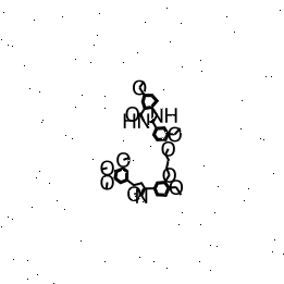 COc1ccc2c(c1)C(=O)NC(c1ccc(OCCCOc3cc(C4=NOC(c5cc(OC)c(OC)c(OC)c5)C4)ccc3OC)c(OC)c1)N2